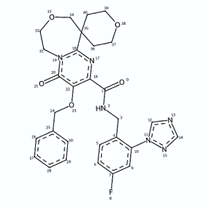 O=C(NCc1ccc(F)cc1-n1cncn1)c1nc2n(c(=O)c1OCc1ccccc1)CCOCC21CCOCC1